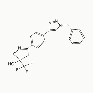 OC1(C(F)(F)F)CC(c2ccc(-c3cnn(Cc4ccccc4)c3)cc2)=NO1